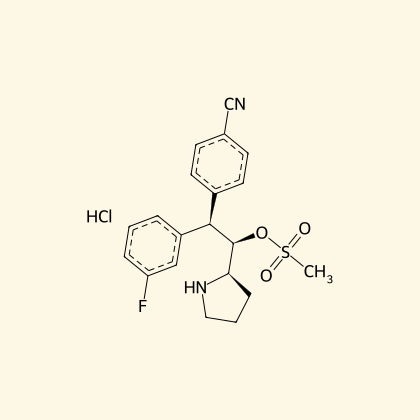 CS(=O)(=O)O[C@H]([C@H](c1ccc(C#N)cc1)c1cccc(F)c1)[C@H]1CCCN1.Cl